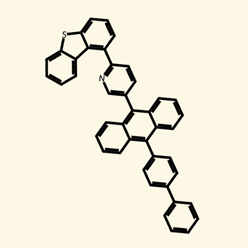 c1ccc(-c2ccc(-c3c4ccccc4c(-c4ccc(-c5cccc6sc7ccccc7c56)nc4)c4ccccc34)cc2)cc1